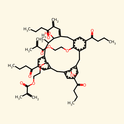 C=C(C)C(=O)OCCOc1c2cc(C(=O)CCC)cc1Cc1cc(C(=O)CCC)cc(c1O)Cc1cc(C(=O)CCC)cc(c1OCCOC(=O)C(=C)C)CC(C)C(O)/C(=C\C(=C)C(=O)CCC)C2